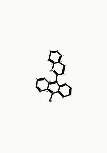 Brc1c2ccccc2c(-c2ccc3ccccc3n2)c2ccccc12